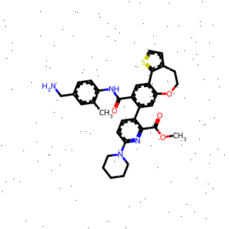 COC(=O)c1nc(N2CCCCC2)ccc1-c1cc2c(cc1C(=O)Nc1ccc(CN)cc1C)-c1sccc1CCO2